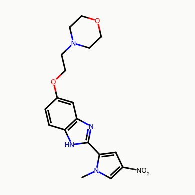 Cn1cc([N+](=O)[O-])cc1-c1nc2cc(OCCN3CCOCC3)ccc2[nH]1